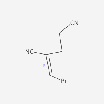 N#CCC/C(C#N)=C\Br